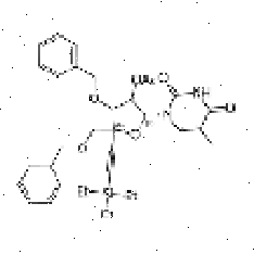 CC[Si](C#C[C@]1(COCc2ccccc2)O[C@@H](n2cc(C)c(=O)[nH]c2=O)C(OC(C)=O)C1OCc1ccccc1)(CC)CC